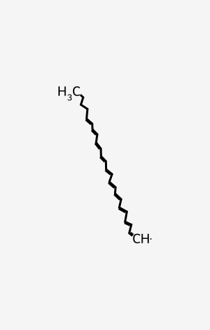 [CH]=CC=CC=CC=CC=CC=CC=CC=CC=CC=CCCCC